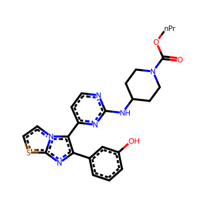 CCCOC(=O)N1CCC(Nc2nccc(-c3c(-c4cccc(O)c4)nc4sccn34)n2)CC1